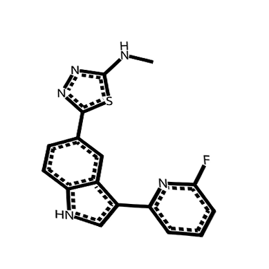 CNc1nnc(-c2ccc3[nH]cc(-c4cccc(F)n4)c3c2)s1